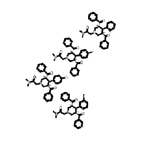 CN(C)C(=O)CN1C[C@H](C(=O)c2ccccc2)C(c2ccc(Cl)cc2)[C@@H](C(=O)c2ccccc2)C1.CN(C)C(=O)CN1C[C@H](C(=O)c2ccccc2)C(c2ccc(F)cc2)[C@@H](C(=O)c2ccccc2)C1.CN(C)C(=O)CN1C[C@H](C(=O)c2ccccc2)C(c2cccc(F)c2)[C@@H](C(=O)c2ccccc2)C1.CN(C)C(=O)CN1C[C@H](C(=O)c2ccccc2)C(c2ccccc2I)[C@@H](C(=O)c2ccccc2)C1